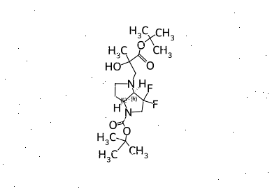 CC(C)(C)OC(=O)N1CC(F)(F)[C@H]2[C@@H]1CCN2CC(C)(O)C(=O)OC(C)(C)C